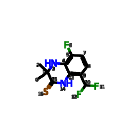 CC1(C)Nc2c(F)ccc(C(F)F)c2NC1=S